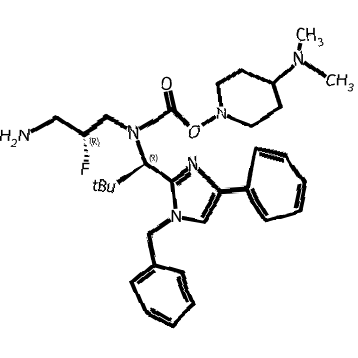 CN(C)C1CCN(OC(=O)N(C[C@H](F)CN)[C@@H](c2nc(-c3ccccc3)cn2Cc2ccccc2)C(C)(C)C)CC1